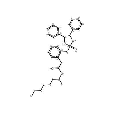 CCCCCCC(C)OC(=O)Cc1ccccc1OP(=O)(OCc1ccccc1)OCc1ccccc1